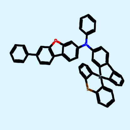 c1ccc(-c2ccc3c(c2)oc2cc(N(c4ccccc4)c4ccc5c(c4)[Si]4(c6ccccc6Sc6ccccc64)c4ccccc4-5)ccc23)cc1